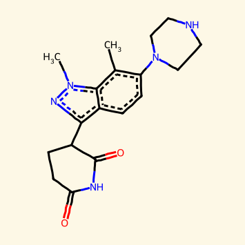 Cc1c(N2CCNCC2)ccc2c(C3CCC(=O)NC3=O)nn(C)c12